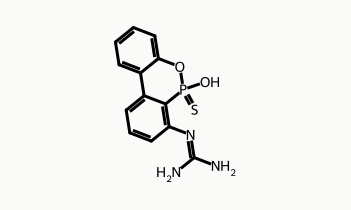 NC(N)=Nc1cccc2c1P(O)(=S)Oc1ccccc1-2